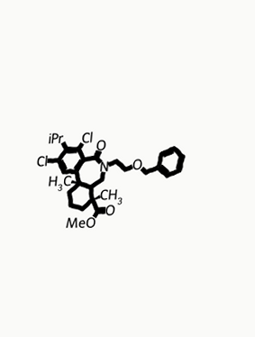 COC(=O)[C@]1(C)CCC[C@]2(C)c3cc(Cl)c(C(C)C)c(Cl)c3C(=O)N(CCOCc3ccccc3)CC12